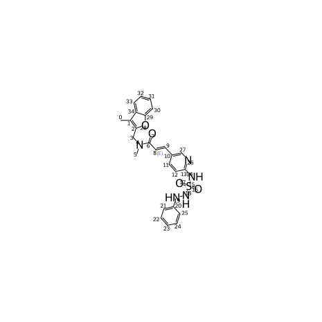 Cc1c(CN(C)C(=O)/C=C/c2ccc(NS(=O)(=O)NNc3ccccc3)nc2)oc2ccccc12